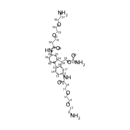 NCCOCCOCCC(=O)Nc1ccc2c(c1)C(COC(N)=O)c1cc(NC(=O)CCOCCOCCN)ccc1-2